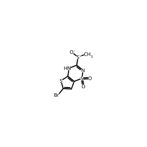 C[S+]([O-])C1=NS(=O)(=O)c2cc(Br)sc2N1